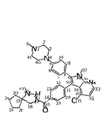 CN1CCN(c2ccc(-c3c(-c4ccc(C(=O)NCC5(N(C)C)CCCC5)cc4)c4c(Cl)ccnc4n3C)cc2)CC1